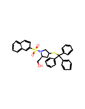 O=S(=O)(c1ccc2ccccc2c1)N1CC(SC(c2ccccc2)(c2ccccc2)c2ccccc2)CC1CO